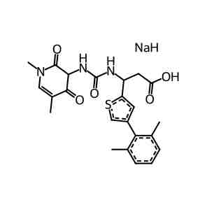 CC1=CN(C)C(=O)C(NC(=O)NC(CC(=O)O)c2cc(-c3c(C)cccc3C)cs2)C1=O.[NaH]